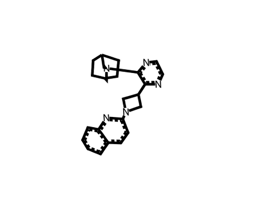 c1ccc2nc(N3CC(c4nccnc4N4CC5CCC(CC5)C4)C3)ccc2c1